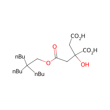 CCCCC(CCCC)(CCCC)COC(=O)CC(O)(CC(=O)O)C(=O)O